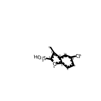 Cc1c(S(=O)(=O)O)oc2ccc(Cl)cc12